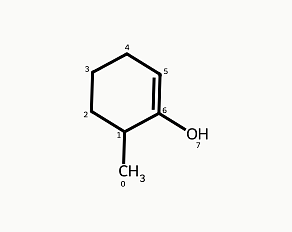 CC1CCCC=C1O